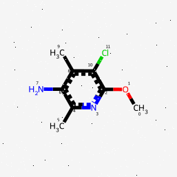 COc1nc(C)c(N)c(C)c1Cl